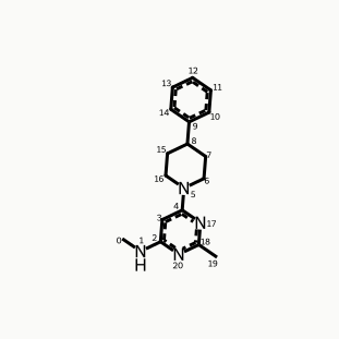 CNc1cc(N2CCC(c3ccccc3)CC2)nc(C)n1